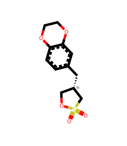 O=S1(=O)C[C@@H](Cc2ccc3c(c2)OCCO3)CO1